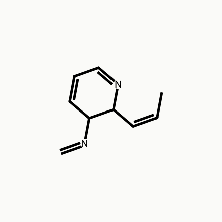 C=NC1C=CC=NC1/C=C\C